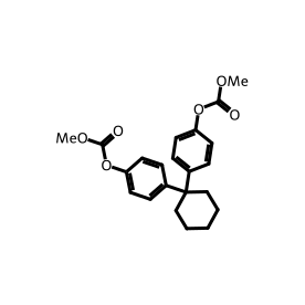 COC(=O)Oc1ccc(C2(c3ccc(OC(=O)OC)cc3)CCCCC2)cc1